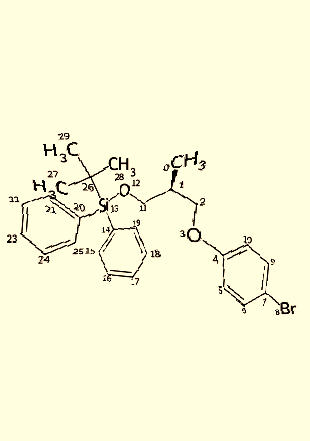 C[C@@H](COc1ccc(Br)cc1)CO[Si](c1ccccc1)(c1ccccc1)C(C)(C)C